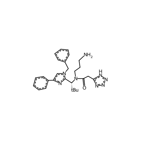 CC(C)(C)[C@H](c1nc(-c2ccccc2)cn1Cc1ccccc1)N(CCCN)C(=O)Cc1nnn[nH]1